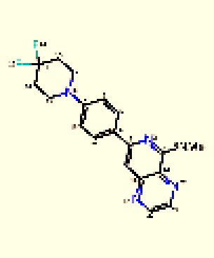 CNc1nc(-c2ccc(N3CCC(F)(F)CC3)cc2)cc2nccnc12